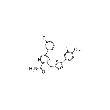 COc1ccc(-c2ccc(Cc3nc(-c4cccc(F)c4)cnc3C(N)=O)s2)cc1C